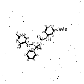 COc1cc(NC(=O)[C@@H]2C[C@@]2(COc2cnc(C)nc2C)c2ccccc2)ccn1